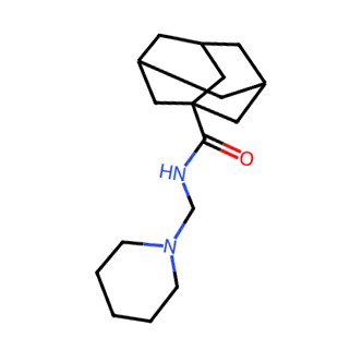 O=C(NCN1CCCCC1)C12CC3CC(CC(C3)C1)C2